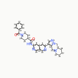 Cn1ncc(-c2cc3cc(NC(=O)C4CCN(C(=O)c5ccccc5)CC4)ncc3cn2)c1CN1CCCCC1